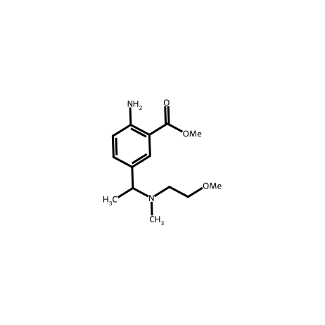 COCCN(C)C(C)c1ccc(N)c(C(=O)OC)c1